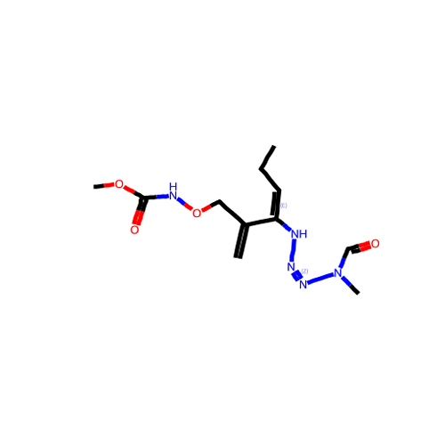 C=C(CONC(=O)OC)/C(=C\CC)N/N=N\N(C)C=O